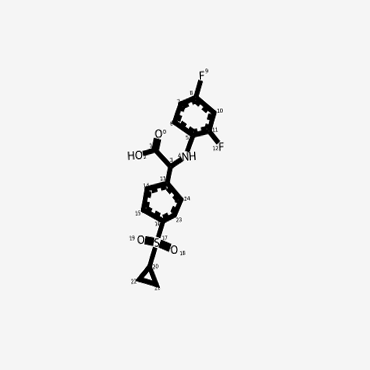 O=C(O)C(Nc1ccc(F)cc1F)c1ccc(S(=O)(=O)C2CC2)cc1